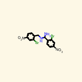 NC(NCc1ccc([N+](=O)[O-])cc1Br)c1ccc([N+](=O)[O-])cc1Br